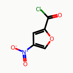 O=C(Cl)c1cc([N+](=O)[O-])co1